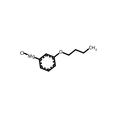 CCCCOc1ccc[c]([Mg][Cl])c1